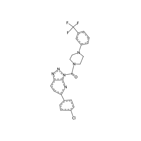 O=C(N1CCN(c2cccc(C(F)(F)F)c2)CC1)n1nnc2ccc(-c3ccc(Cl)cc3)nc21